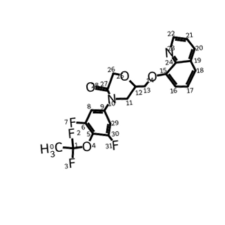 CC(F)(F)Oc1c(F)cc(N2CC(COc3cccc4cccnc34)OCC2=O)cc1F